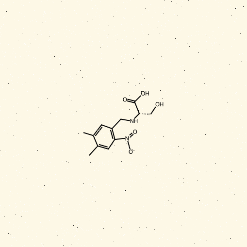 Cc1cc(CN[C@@H](CO)C(=O)O)c([N+](=O)[O-])cc1C